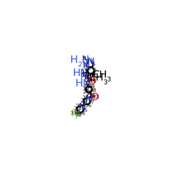 CC1(C)Cc2cnc(N)nc2-c2[nH]nc(C(=O)Nc3ccc(C(=O)N4CCC(N5CCC(F)(F)CC5)CC4)cc3)c21